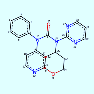 O=C(N(c1ccccc1)c1ccncc1)N(c1ncccn1)C1CCOCC1